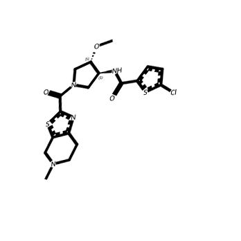 CO[C@H]1CN(C(=O)c2nc3c(s2)CN(C)CC3)C[C@@H]1NC(=O)c1ccc(Cl)s1